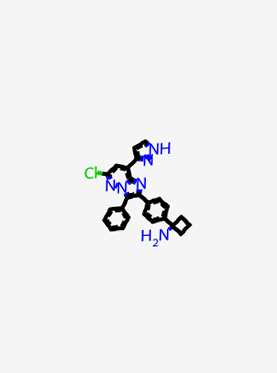 NC1(c2ccc(-c3nc4c(-c5cc[nH]n5)cc(Cl)nn4c3-c3ccccc3)cc2)CCC1